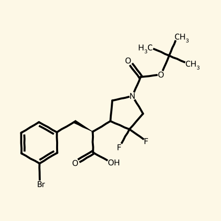 CC(C)(C)OC(=O)N1CC([C@H](Cc2cccc(Br)c2)C(=O)O)C(F)(F)C1